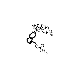 CC(=O)OCc1cccc2c1CN(C(=O)OC(C)(C)C)CC2